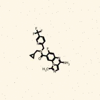 Cc1ncc2c(N)nc3cc(F)c(C(=O)N(Cc4ccc(C(F)(F)F)cn4)CC4CC4)cc3n12